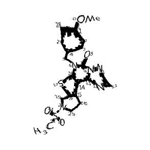 COc1ccc(Cn2c(=O)n3ncnc3c3c4c(sc32)CN(S(C)(=O)=O)CC4)cc1